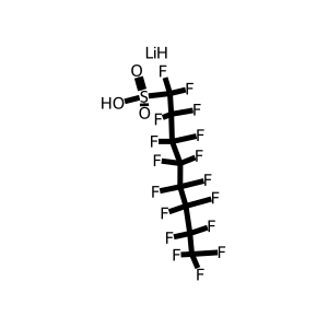 O=S(=O)(O)C(F)(F)C(F)(F)C(F)(F)C(F)(F)C(F)(F)C(F)(F)C(F)(F)C(F)(F)F.[LiH]